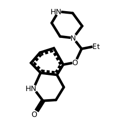 CCC(Oc1cccc2c1CCC(=O)N2)N1CCNCC1